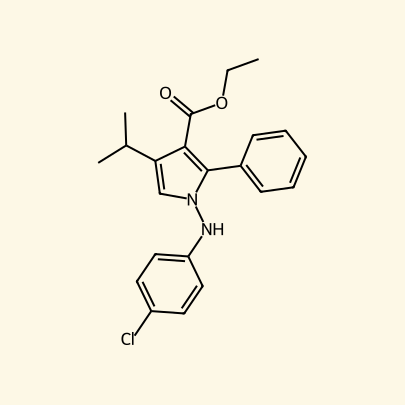 CCOC(=O)c1c(C(C)C)cn(Nc2ccc(Cl)cc2)c1-c1ccccc1